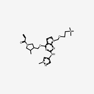 C=CC(=O)N1CC(C)C(COc2nc(Nc3cnn(C)c3)nc3c2ccn3COCC[Si](C)(C)C)C1